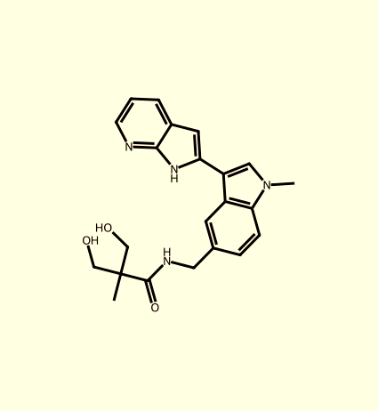 Cn1cc(-c2cc3cccnc3[nH]2)c2cc(CNC(=O)C(C)(CO)CO)ccc21